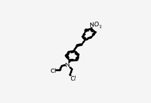 O=[N+]([O-])c1ccc(C=Cc2ccc(N(CCCl)CCCl)cc2)cc1